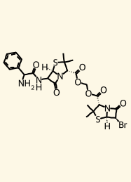 CC1(C)S[C@@H]2C(NC(=O)C(N)c3ccccc3)C(=O)N2[C@H]1C(=O)OCOC(=O)[C@@H]1N2C(=O)[C@@H](Br)[C@H]2SC1(C)C